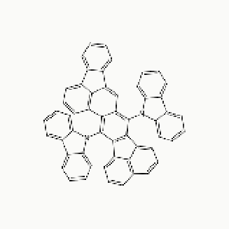 c1ccc2c(c1)c1cccc3c4c(-n5c6ccccc6c6ccccc65)c5c6cccc7cccc(c5c(-n5c8ccccc8c8ccccc85)c4cc2c13)c76